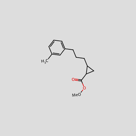 COOC(=O)C1CC1CCCc1cccc(C)c1